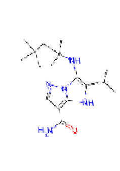 CC(C)c1[nH]c2c(C(N)=O)cnn2c1NC(C)(C)CC(C)(C)C